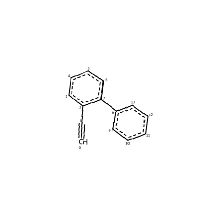 C#Cc1ccccc1-c1[c]cccc1